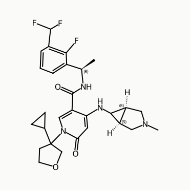 C[C@@H](NC(=O)c1cn(C2(C3CC3)CCOC2)c(=O)cc1NC1[C@H]2CN(C)C[C@@H]12)c1cccc(C(F)F)c1F